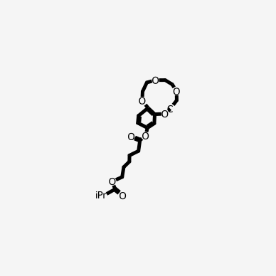 CC(C)C(=O)OCCCCCC(=O)Oc1ccc2c(c1)OCCOCCOCCO2